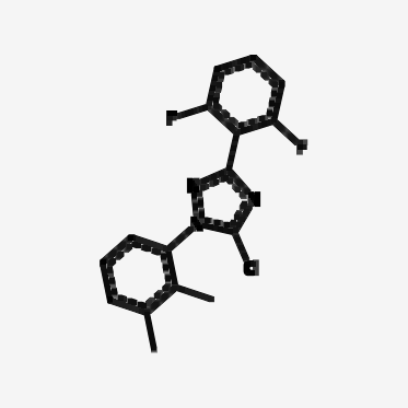 Cc1cccc(-n2nc(-c3c(F)cccc3F)nc2Cl)c1C